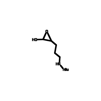 CCCCNCCCC1OC1O